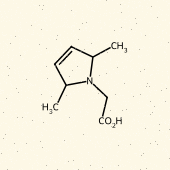 CC1C=CC(C)N1CC(=O)O